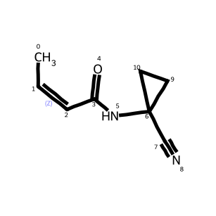 C/C=C\C(=O)NC1(C#N)CC1